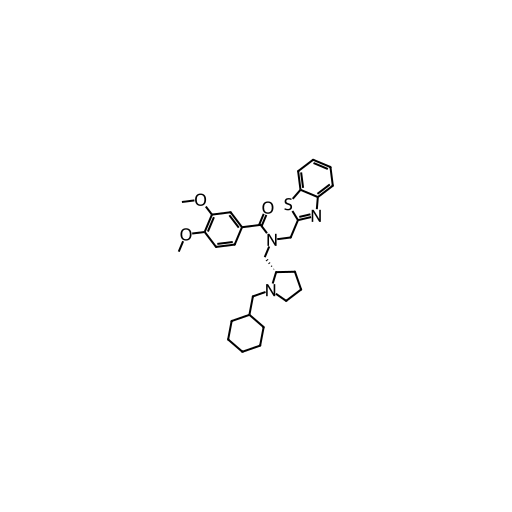 COc1ccc(C(=O)N(Cc2nc3ccccc3s2)C[C@@H]2CCCN2CC2CCCCC2)cc1OC